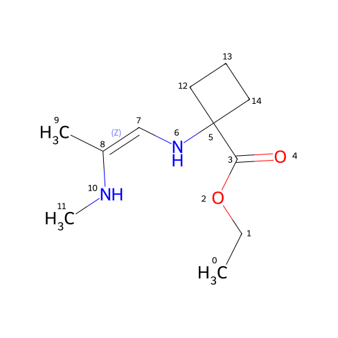 CCOC(=O)C1(N/C=C(/C)NC)CCC1